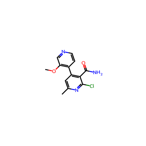 COc1cnccc1-c1cc(C)nc(Cl)c1C(N)=O